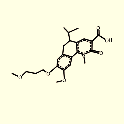 COCCCOc1cc2c(cc1OC)-c1c(cc(C(=O)O)c(=O)n1C)C(C(C)C)C2